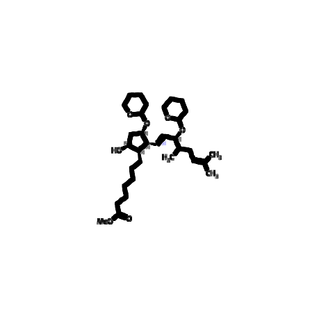 COC(=O)CCCCCC[C@@H]1[C@@H](/C=C/[C@@H](OC2CCCCO2)C(C)CC=C(C)C)[C@H](OC2CCCCO2)C[C@@H]1O